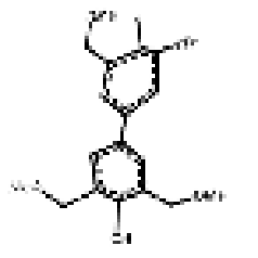 CCCc1cc(-c2cc(COC)c(O)c(COC)c2)cc(COC)c1C